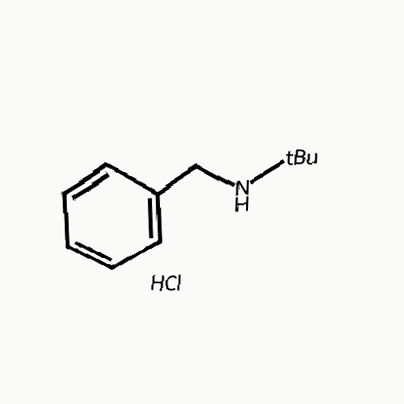 CC(C)(C)NCc1ccccc1.Cl